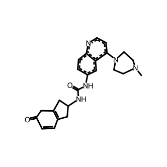 CN1CCN(c2ccnc3ccc(NC(=O)NC4CC5=C(CC(=O)C=C5)C4)cc23)CC1